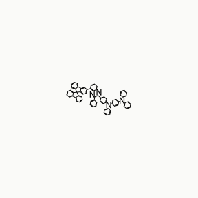 c1ccc(-c2nc3c(-c4ccc5c(c4)-c4ccccc4C54c5ccccc5-c5ccccc54)cccc3nc2-c2ccc(N(c3ccccc3)c3ccc(N(c4ccccc4)c4ccccc4)cc3)cc2)cc1